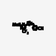 CSc1nc(-c2ccn(Cc3cccc(C#N)c3)c2)cc(C(F)(F)F)n1